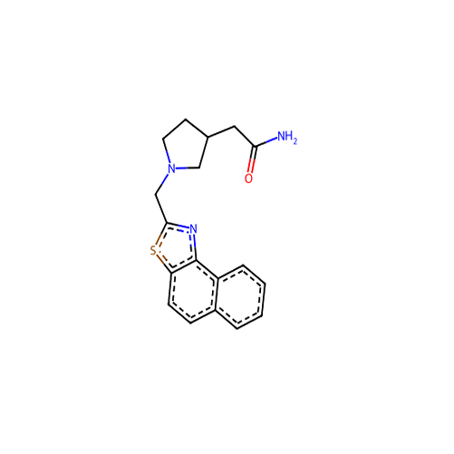 NC(=O)CC1CCN(Cc2nc3c(ccc4ccccc43)s2)C1